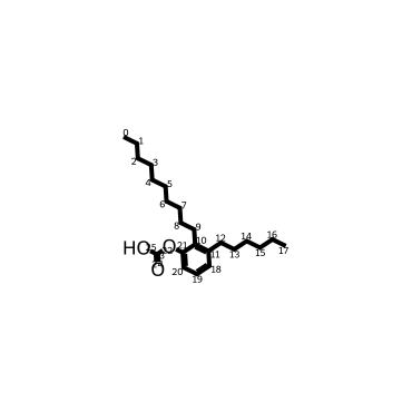 CCCCCCCCCCc1c(CCCCCC)cccc1OC(=O)O